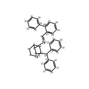 C(=NC1C2CCN(CC2)C1C(c1ccccc1)c1ccccc1)c1ccccc1-c1ccccc1